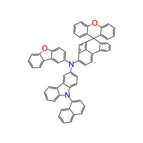 c1ccc2c(c1)Oc1ccccc1C21c2ccccc2-c2ccc(N(c3ccc4oc5ccccc5c4c3)c3ccc4c(c3)c3ccccc3n4-c3cccc4ccccc34)c3cccc1c23